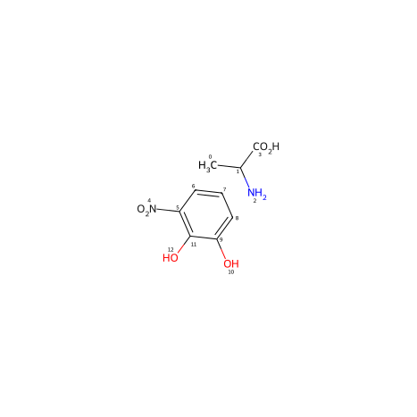 CC(N)C(=O)O.O=[N+]([O-])c1cccc(O)c1O